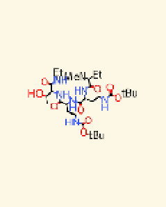 CCNC(=O)[C@@H](NC(=O)[C@H](CCNC(=O)OC(C)(C)C)NC(=O)[C@H](CCNC(=O)OC(C)(C)C)NC(=O)[C@H](CC)NC)[C@@H](C)O